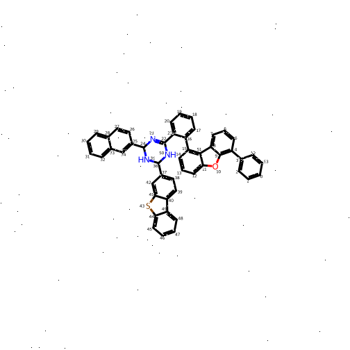 c1ccc(-c2cccc3c2oc2cccc(-c4ccccc4C4=NC(c5ccc6ccccc6c5)NC(c5ccc6c(c5)sc5ccccc56)N4)c23)cc1